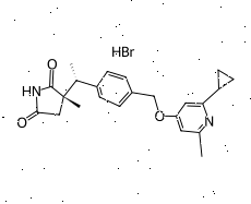 Br.Cc1cc(OCc2ccc([C@@H](C)[C@]3(C)CC(=O)NC3=O)cc2)cc(C2CC2)n1